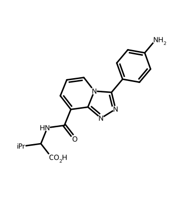 CC(C)C(NC(=O)c1cccn2c(-c3ccc(N)cc3)nnc12)C(=O)O